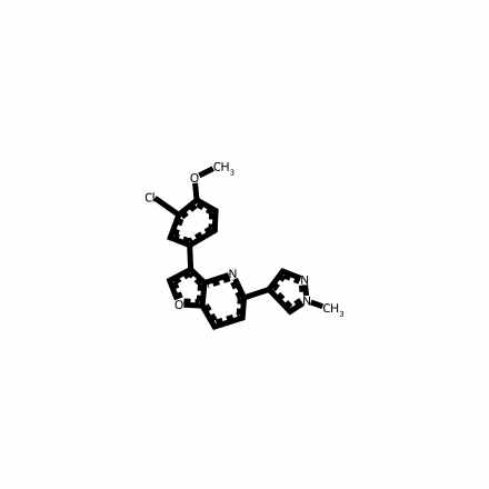 COc1ccc(-c2coc3ccc(-c4cnn(C)c4)nc23)cc1Cl